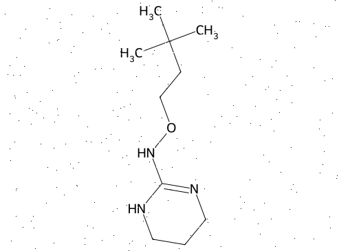 CC(C)(C)CCONC1=NCCCN1